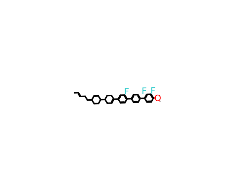 C/C=C/CCC1CCC(C2CC=C(c3ccc(-c4ccc(-c5ccc(OC)c(F)c5F)cc4)c(F)c3)CC2)CC1